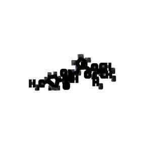 Cc1ccc(S(=O)(=O)N/N=C/C2CCCN2C(=O)OC(C)(C)C)cc1